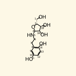 OC[C@H]1OC(NCCc2cc(O)ccc2O)[C@H](O)[C@@H]1O